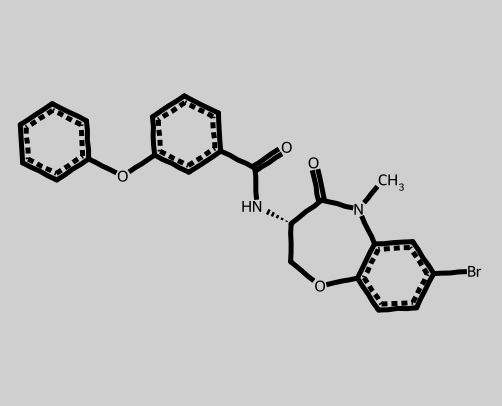 CN1C(=O)[C@@H](NC(=O)c2cccc(Oc3ccccc3)c2)COc2ccc(Br)cc21